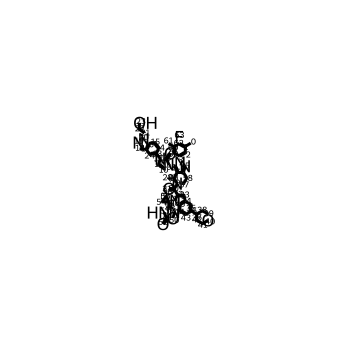 Cc1cc(-n2nc3c(c2-n2ccn(-c4ccc5c(cnn5CCO)c4)c2=O)[C@H](C)N(C(=O)c2cc4cc(C5CCOCC5)ccc4n2[C@@]2(c4noc(=O)[nH]4)C[C@@H]2C)CC3)cc(C)c1F